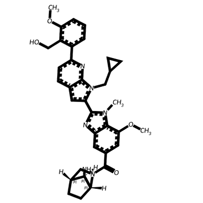 COc1cccc(-c2ccc3cc(-c4nc5cc(C(=O)N6C[C@H]7CC[C@@H]6[C@@H]7N)cc(OC)c5n4C)n(CC4CC4)c3n2)c1CO